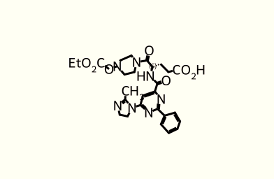 CCOC(=O)ON1CCN(C(=O)[C@H](CCC(=O)O)NC(=O)c2cc(N3CCN=C3C)nc(-c3ccccc3)n2)CC1